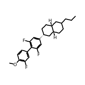 CCCC1CC[C@@H]2C[C@H](c3cc(F)c(-c4ccc(OC)c(F)c4)c(F)c3)CC[C@@H]2C1